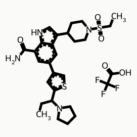 CCC(c1cc(-c2cc(C(N)=O)c3[nH]cc(C4CCN(S(=O)(=O)CC)CC4)c3c2)cs1)N1CCCC1.O=C(O)C(F)(F)F